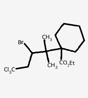 CCOC(=O)C1(C(C)(C)C(Br)CC(Cl)(Cl)Cl)CCCCC1